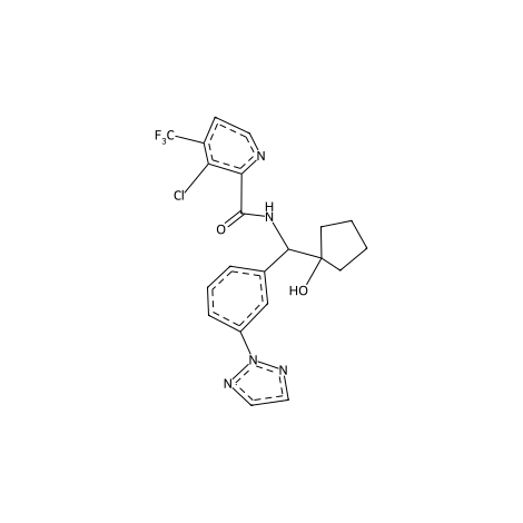 O=C(NC(c1cccc(-n2nccn2)c1)C1(O)CCCC1)c1nccc(C(F)(F)F)c1Cl